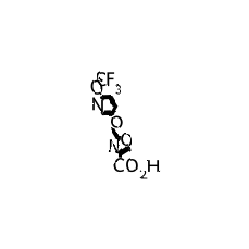 O=C(O)c1coc(COc2ccc(OC(F)(F)F)nc2)n1